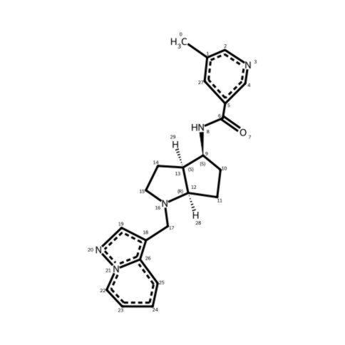 Cc1cncc(C(=O)N[C@H]2CC[C@@H]3[C@H]2CCN3Cc2cnn3ccccc23)c1